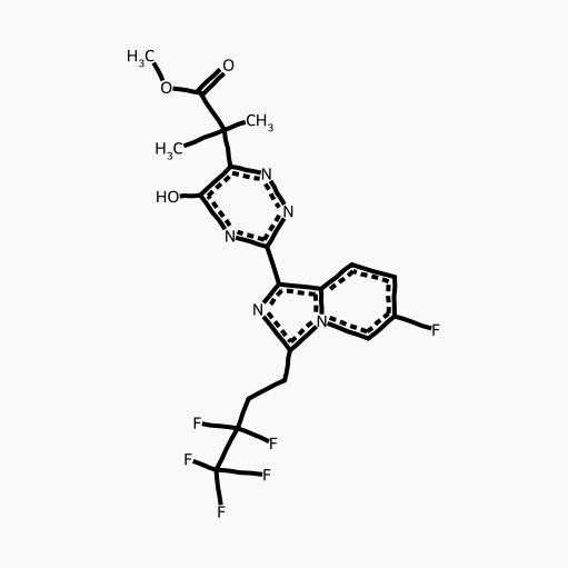 COC(=O)C(C)(C)c1nnc(-c2nc(CCC(F)(F)C(F)(F)F)n3cc(F)ccc23)nc1O